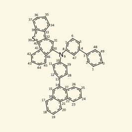 c1ccc(-c2cccc(N(c3ccc(-c4cc5ccccc5c5ccccc45)cc3)c3cc4c5ccccc5sc4c4ccccc34)c2)cc1